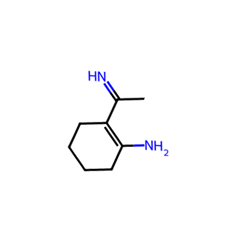 CC(=N)C1=C(N)CCCC1